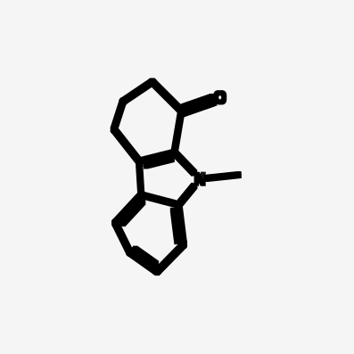 Cn1c2c(c3ccccc31)CCCC2=O